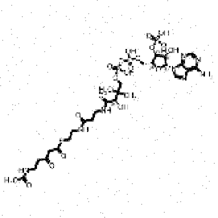 CC(=O)NCCC(=O)CC(=O)SCCNC(=O)CCNC(=O)[C@H](O)C(C)(C)COP(=O)(O)OP(=O)(O)OC[C@H]1O[C@@H](n2cnc3c(N)ncnc32)[C@H](O)[C@@H]1OP(=O)(O)O